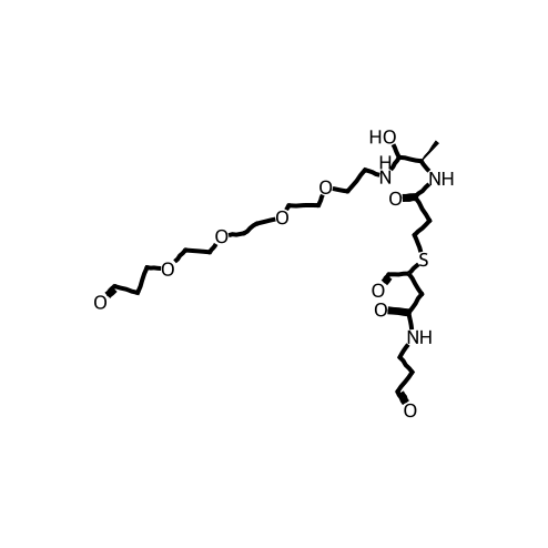 C[C@@H](NC(=O)CCSC(C=O)CC(=O)NCCC=O)C(O)NCCOCCOCCOCCOCCC=O